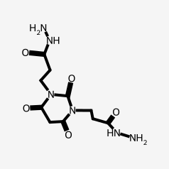 NNC(=O)CCN1C(=O)CC(=O)N(CCC(=O)NN)C1=O